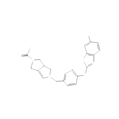 NC(=O)N1CC2=CN(Cc3ccc(Oc4nc5ccc(F)cc5s4)cc3)CC2C1